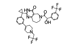 O=C([C@H](O)c1cccc(C(F)(F)F)c1)N1CCCc2nc(C3(c4cccc(C5=CCN(CC(F)(F)F)CC5)c4)CC3)[nH]c(=O)c2C1